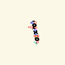 CN1CCOc2ccc([C@@](C)(O)C(=O)N3CC4=C(C3)CN(S(=O)(=O)c3ccc(OC(F)F)cc3)C4)cc21